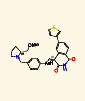 COC[C@H]1CCCN1Cc1ccc([AsH]/C=C2\C(=O)NC(=O)c3ccc(-c4ccsc4)cc32)cc1